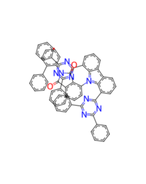 O=C1c2cccc(-n3c4c(-c5nc(-c6ccccc6)nc(-c6ccccc6)n5)cccc4c4cccc(-c5nc(-c6ccccc6)nc(-c6ccccc6)n5)c43)c2C(=O)N1c1ccccc1-c1ccccc1